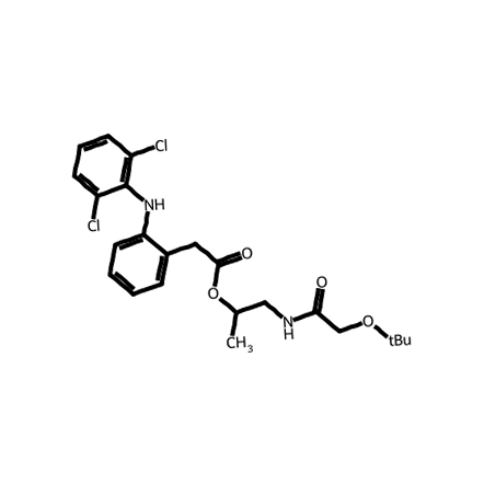 CC(CNC(=O)COC(C)(C)C)OC(=O)Cc1ccccc1Nc1c(Cl)cccc1Cl